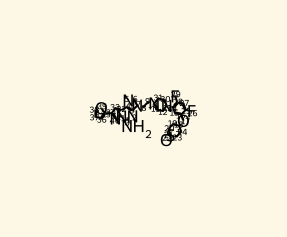 Nc1nc2c(ncn2CCN2CCN(c3cc(O[C@H]4CC[S@@+]([O-])CC4)c(F)cc3F)CC2)c2cc(-c3ccco3)nn12